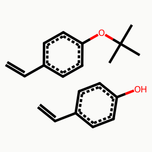 C=Cc1ccc(O)cc1.C=Cc1ccc(OC(C)(C)C)cc1